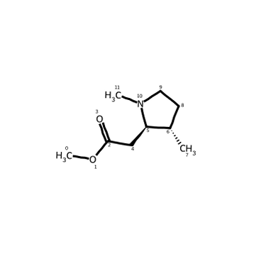 COC(=O)C[C@@H]1[C@@H](C)CCN1C